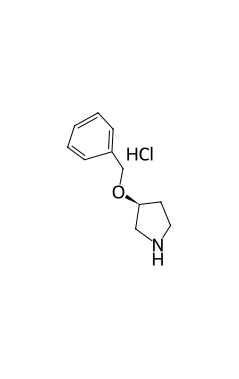 Cl.c1ccc(CO[C@H]2CCNC2)cc1